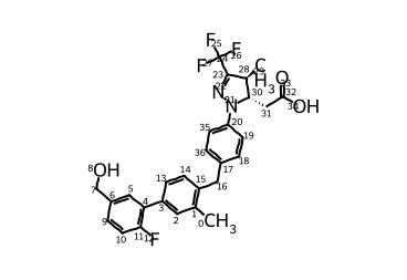 Cc1cc(-c2cc(CO)ccc2F)ccc1Cc1ccc(N2N=C(C(F)(F)F)[C@@H](C)[C@@H]2CC(=O)O)cc1